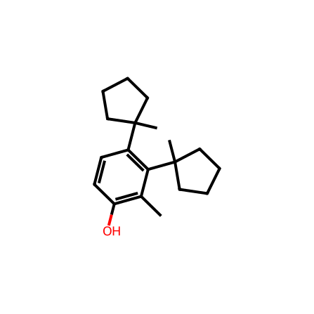 Cc1c(O)ccc(C2(C)CCCC2)c1C1(C)CCCC1